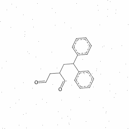 O=[C]C(CC=O)CC(c1ccccc1)c1ccccc1